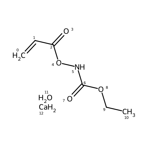 C=CC(=O)ONC(=O)OCC.O.[CaH2]